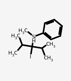 CC(C)C(I)(C(C)C)[SiH](C)c1ccccc1